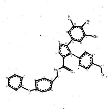 COc1ccc(-n2c(C(=O)NCc3ccc(Oc4ccccc4)cc3)nnc2-c2cc(Cl)c(O)c(Cl)c2)cn1